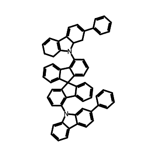 C1=CC2=C(CC1)N(c1cccc3c1-c1ccccc1C31c3ccccc3-c3c(-n4c5ccccc5c5ccc(-c6ccccc6)cc54)cccc31)C1CC(c3ccccc3)=CC=C21